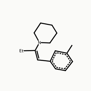 CCC(=Cc1cccc(C)c1)N1CCCCC1